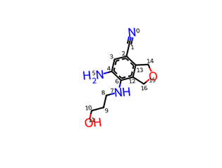 N#Cc1cc(N)c(NCCCO)c2c1COC2